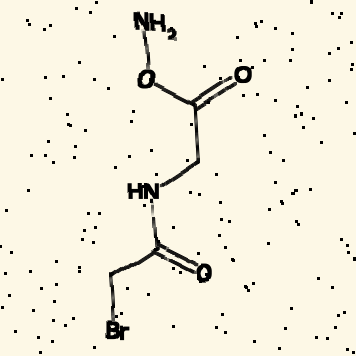 NOC(=O)CNC(=O)CBr